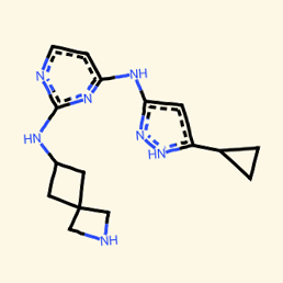 c1cc(Nc2cc(C3CC3)[nH]n2)nc(NC2CC3(CNC3)C2)n1